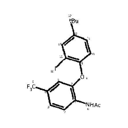 CC(=O)Nc1ccc(C(F)(F)F)cc1Oc1ccc(C(C)(C)C)cc1I